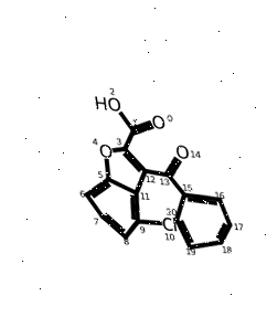 O=C(O)c1oc2cccc(Cl)c2c1C(=O)c1ccccc1